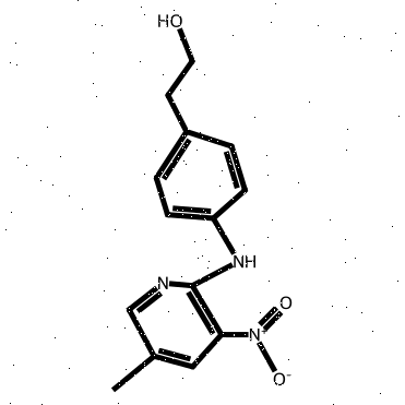 Cc1cnc(Nc2ccc(CCO)cc2)c([N+](=O)[O-])c1